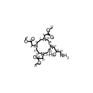 COC(=O)CN1CCN(CC(=O)OC)CCN(CC(O)CN)CCN(CC(=O)OC)CC1